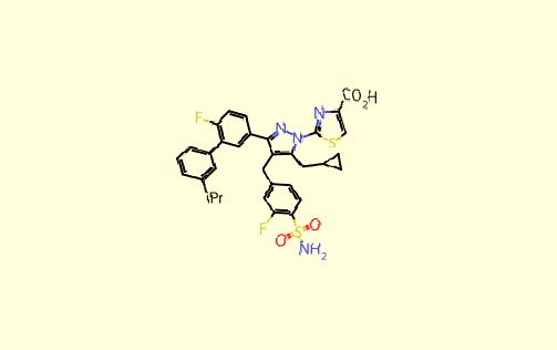 CC(C)c1cccc(-c2cc(-c3nn(-c4nc(C(=O)O)cs4)c(CC4CC4)c3Cc3ccc(S(N)(=O)=O)c(F)c3)ccc2F)c1